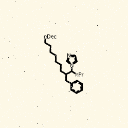 CCCCCCCCCCCCCCCCCC(Cc1ccccc1)C(CCC)n1ccnc1